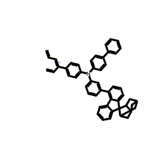 C=C/C=C(\C=C)c1ccc(N(c2ccc(-c3ccccc3)cc2)c2cccc(-c3cccc4c3-c3ccccc3C43C4CC5CC(C4)C3C5)c2)cc1